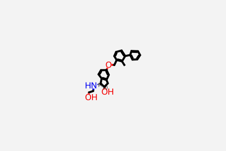 Cc1c(COc2ccc3c(c2)C[C@@H](O)[C@@H]3NCCO)cccc1-c1ccccc1